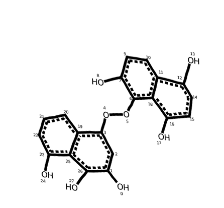 Oc1cc(OOc2c(O)ccc3c(O)ccc(O)c23)c2cccc(O)c2c1O